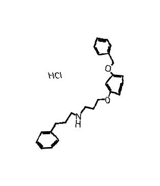 Cl.c1ccc(CCCNCCCOc2cccc(OCc3ccccc3)c2)cc1